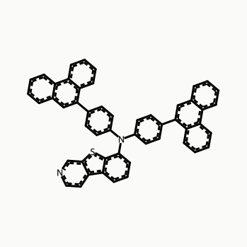 c1ccc2c(c1)cc(-c1ccc(N(c3ccc(-c4cc5ccccc5c5ccccc45)cc3)c3cccc4c3sc3cnccc34)cc1)c1ccccc12